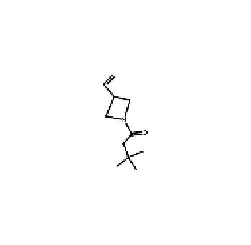 C=CC1CN(C(=O)CC(C)(C)C)C1